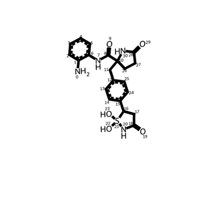 Nc1ccccc1NC(=O)C1(Cc2ccc(C3CC(=O)NS3(O)O)cc2)CCC(=O)N1